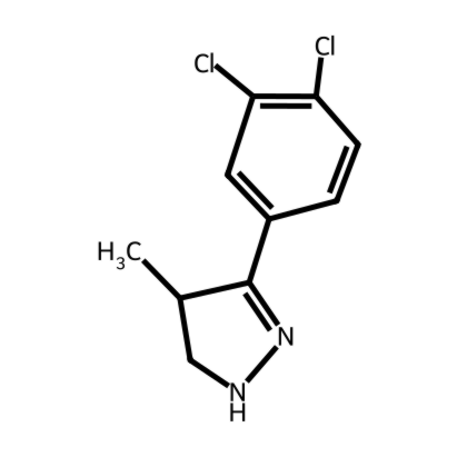 CC1CNN=C1c1ccc(Cl)c(Cl)c1